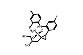 NS(=O)(=O)C1(CC(O)CO)CC1c1ccc(F)cc1Nc1ccc(I)cc1F